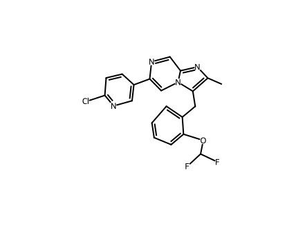 Cc1nc2cnc(-c3ccc(Cl)nc3)cn2c1Cc1ccccc1OC(F)F